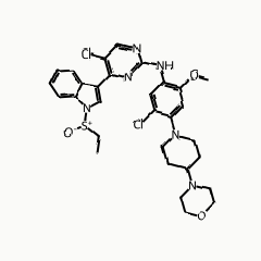 CC[S+]([O-])n1cc(-c2nc(Nc3cc(Cl)c(N4CCC(N5CCOCC5)CC4)cc3OC)ncc2Cl)c2ccccc21